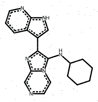 c1cnc2[nH]cc(-c3nc4cnccn4c3NC3CCCCC3)c2c1